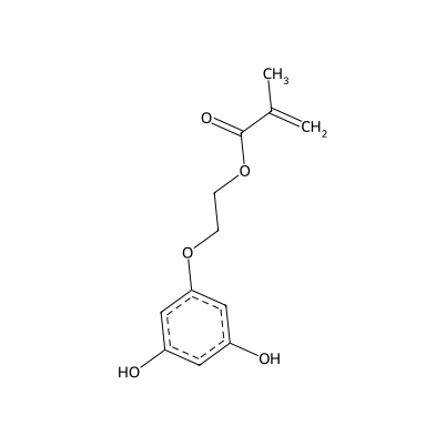 C=C(C)C(=O)OCCOc1cc(O)cc(O)c1